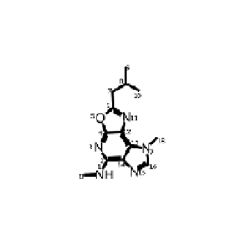 CNc1nc2oc(CC(C)C)nc2c2c1ncn2C